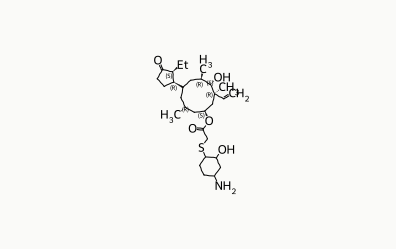 C=C[C@@]1(C)C[C@@H](OC(=O)CSC2CCC(N)CC2O)C[C@H](C)CC([C@H]2CCC(=O)[C@H]2CC)C[C@@H](C)[C@@H]1O